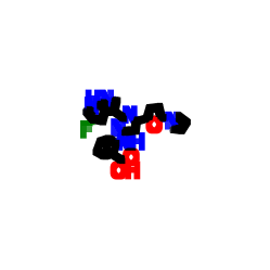 O=C(O)C1C2CCC(CC2)C1Nc1cc(-c2ccc(-n3cccc3)o2)nc(-c2c[nH]c3ncc(F)cc23)n1